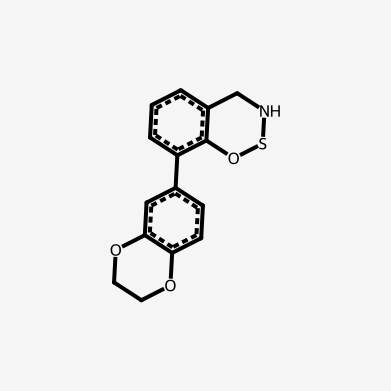 c1cc2c(c(-c3ccc4c(c3)OCCO4)c1)OSNC2